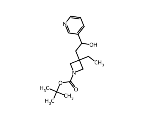 CCC1(CC(O)c2cccnc2)CN(C(=O)OC(C)(C)C)C1